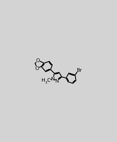 Cn1nc(-c2cccc(Br)c2)cc1-c1ccc2c(c1)OCO2